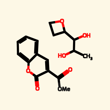 CC(O)C(O)C1CCO1.COC(=O)c1cc2ccccc2oc1=O